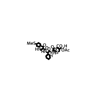 CSc1ccc2c(=O)c(C(=O)NC(C(=O)N[C@@H]3C(=O)N4C(C(=O)O)=C(COC(C)=O)CS[C@H]34)c3ccccc3)c[nH]c2c1